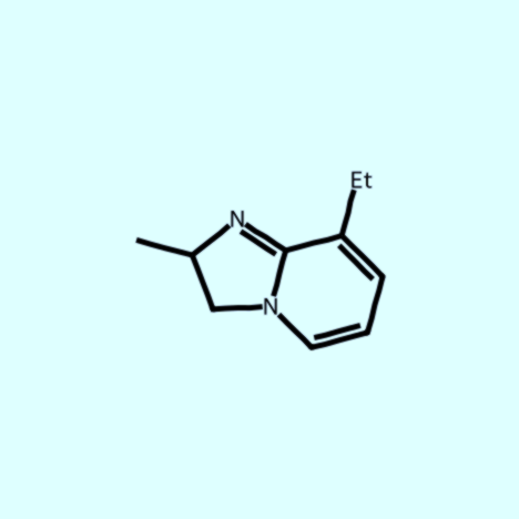 CCC1=CC=CN2CC(C)N=C12